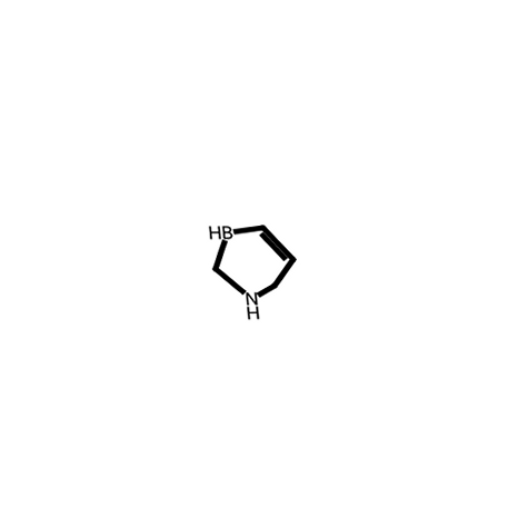 B1C=CCNC1